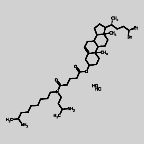 CC[C@H](CC[C@@H](C)C1CCC2C3CC=C4CC(OC(=O)CCCC(=O)N(CCCCCCCC(C)N)CCC(C)N)CCC4(C)C3CCC21C)C(C)C.Cl.Cl